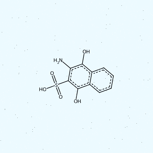 Nc1c(S(=O)(=O)O)c(O)c2ccccc2c1O